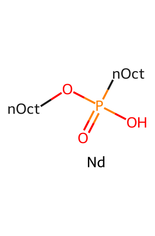 CCCCCCCCOP(=O)(O)CCCCCCCC.[Nd]